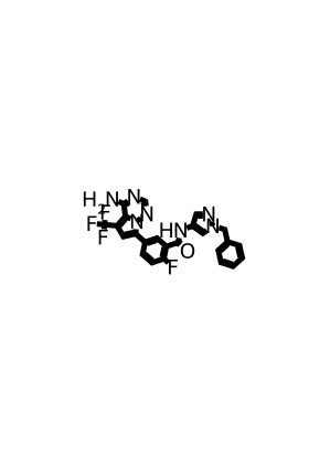 Nc1ncnn2c(-c3ccc(F)c(C(=O)Nc4cnn(Cc5ccccc5)c4)c3)cc(C(F)(F)F)c12